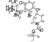 BC1(B)Oc2ccc(OC3CCN(C(=O)OC(C)(C)C)CC3)c(Br)c2OC1(B)B